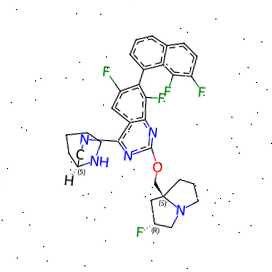 Fc1cc2c(N3C[C@@H]4CCC3CN4)nc(OC[C@@]34CCCN3C[C@H](F)C4)nc2c(F)c1-c1cccc2ccc(F)c(F)c12